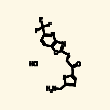 Cl.NCc1ccc(C(=O)CSc2nc3nc(C(F)(F)F)ccc3o2)s1